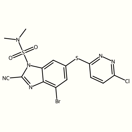 CN(C)S(=O)(=O)n1c(C#N)nc2c(Br)cc(Sc3ccc(Cl)nn3)cc21